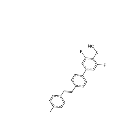 Cc1ccc(C=Cc2ccc(-c3cc(F)c(SC#N)c(F)c3)cc2)cc1